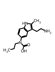 CCCN(C(=O)O)c1ccc2[nH]c(C)c(CCN)c2c1